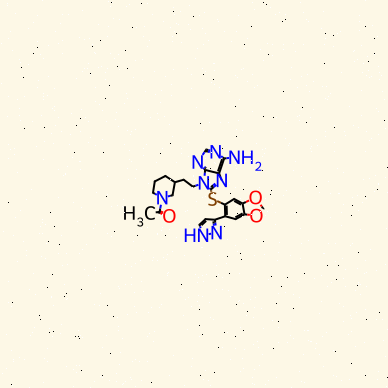 CC(=O)N1CCCC(CCn2c(Sc3cc4c(cc3-c3cc[nH]n3)OCO4)nc3c(N)ncnc32)C1